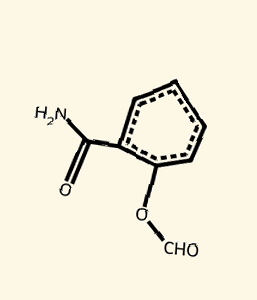 NC(=O)c1ccccc1OC=O